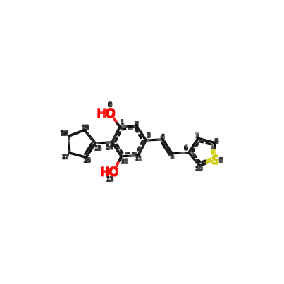 Oc1cc(/C=C/c2ccsc2)cc(O)c1C1=CCCC1